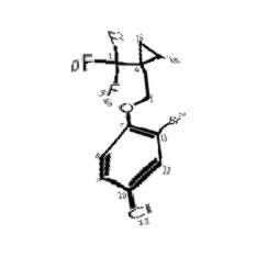 FC(F)(F)C1(COc2ccc(Cl)cc2Br)CC1